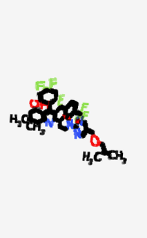 CC(C)COCc1cnc(N2CCC(c3nc4c(c(C5CCC(F)(F)CC5)c3C(F)c3ccc(C(F)(F)F)cc3)[C@@H](O)CC(C)(C)C4)CC2)nc1